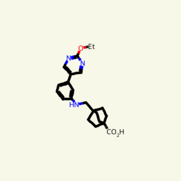 CCOc1ncc(-c2cccc(NCC34CCC(C(=O)O)(CC3)CC4)c2)cn1